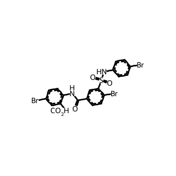 O=C(Nc1ccc(Br)cc1C(=O)O)c1ccc(Br)c(S(=O)(=O)Nc2ccc(Br)cc2)c1